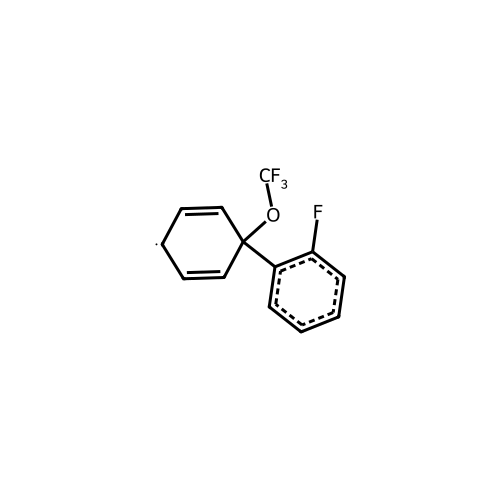 Fc1ccccc1C1(OC(F)(F)F)C=C[CH]C=C1